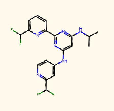 CC(C)Nc1cc(Nc2ccnc(C(F)F)c2)nc(-c2cccc(C(F)F)n2)n1